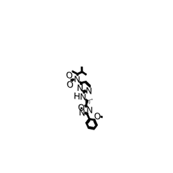 COc1ccccc1-c1noc([C@@H](C)Nc2nccc(N3C(=O)OCC3C(C)C)n2)n1